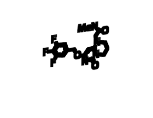 CNC(=O)CN1CCCn2c1cc(OCc1cc(F)c(F)c(F)c1)nc2=O